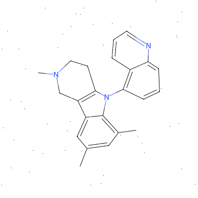 Cc1cc(C)c2c(c1)c1c(n2-c2cccc3ncccc23)CCN(C)C1